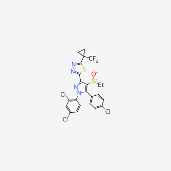 CC[S+]([O-])c1c(-c2nnc(C3(C(F)(F)F)CC3)s2)nn(-c2ccc(Cl)cc2Cl)c1-c1ccc(Cl)cc1